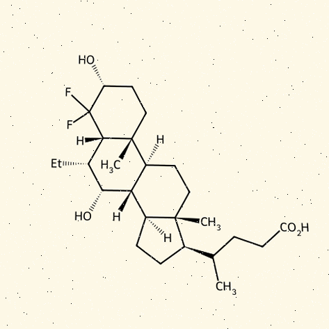 CC[C@H]1[C@@H](O)[C@@H]2[C@H](CC[C@]3(C)[C@@H](C(C)CCC(=O)O)CC[C@@H]23)[C@@]2(C)CC[C@@H](O)C(F)(F)[C@@H]12